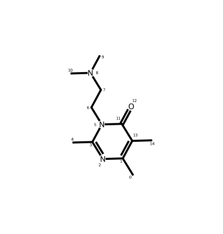 Cc1nc(C)n(CCN(C)C)c(=O)c1C